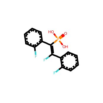 O=P(O)(O)C(=C(F)c1ccccc1F)c1ccccc1F